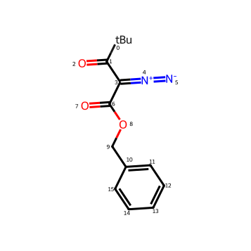 CC(C)(C)C(=O)C(=[N+]=[N-])C(=O)OCc1ccccc1